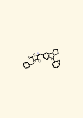 O=C1/C(=C\c2ccc3c(c2)C2CCCC2N3c2ccccn2)SC(=S)N1Cc1ccccc1